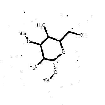 CCCCOC1C(C)C(CO)O[C@H](OCCCC)C1N